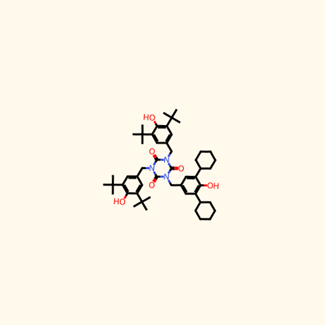 CC(C)(C)c1cc(Cn2c(=O)n(Cc3cc(C4CCCCC4)c(O)c(C4CCCCC4)c3)c(=O)n(Cc3cc(C(C)(C)C)c(O)c(C(C)(C)C)c3)c2=O)cc(C(C)(C)C)c1O